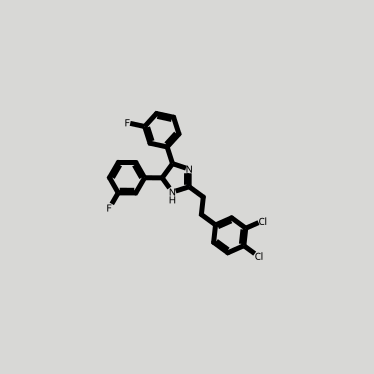 Fc1cccc(C2N=C(CCc3ccc(Cl)c(Cl)c3)NC2c2cccc(F)c2)c1